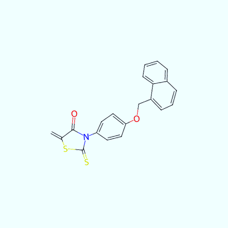 C=C1SC(=S)N(c2ccc(OCc3cccc4ccccc34)cc2)C1=O